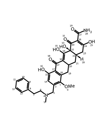 COc1c(CN(C)CCc2ccccc2)cc(O)c2c1CC1C[C@H]3CC(O)=C(C(N)=O)C(=O)[C@@]3(O)C(O)=C1C2=O